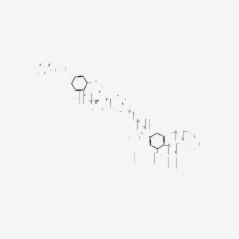 Bc1cc(C(=O)NCCN2CCC(N3CCc4cc(OC)ccc4NC3=O)CC2)cc(CN2CCOCC2)c1N